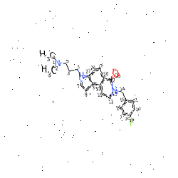 CN(C)CCCn1ccc2c3ccn(Cc4ccc(F)cc4)c(=O)c3ccc21